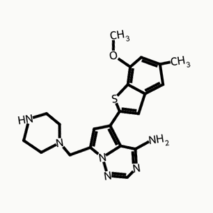 COc1cc(C)cc2cc(-c3cc(CN4CCNCC4)n4ncnc(N)c34)sc12